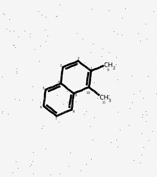 [CH2]c1ccc2ccccc2c1C